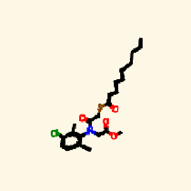 CCCCCCCCCC(=O)SCC(=O)N(CC(=O)OC)c1c(C)ccc(Cl)c1C